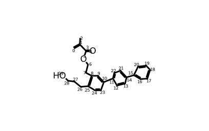 C=C(C)C(=O)OCCc1cc(-c2ccc(-c3ccccc3)cc2)ccc1CCCO